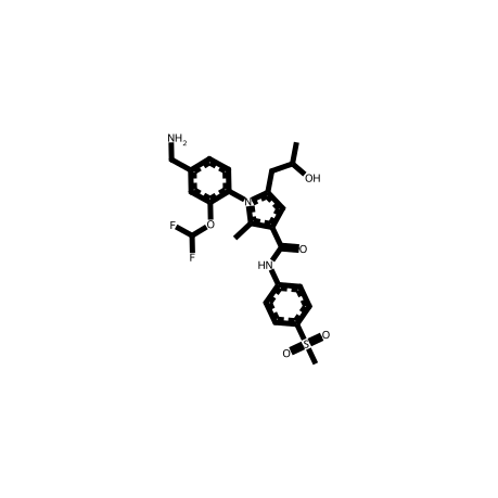 Cc1c(C(=O)Nc2ccc(S(C)(=O)=O)cc2)cc(CC(C)O)n1-c1ccc(CN)cc1OC(F)F